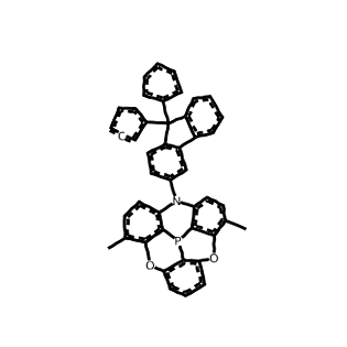 Cc1ccc2c3c1Oc1cccc4c1P3c1c(ccc(C)c1O4)N2c1ccc2c(c1)-c1ccccc1C2(c1ccccc1)c1ccccc1